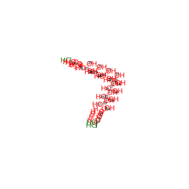 Cl.Cl.Cl.O.O.O.O.O.O.O.O.O.OB(O)O.OB(O)O.OB(O)O.OB(O)O.OB(O)O.OB(O)O.OB(O)O